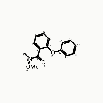 CON(C)C(=O)c1ccccc1Oc1ccccc1